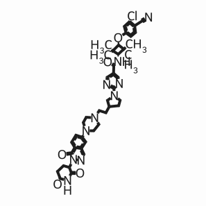 CC1(C)[C@H](NC(=O)c2cnc(N3CCC(CCN4CCN(c5ccc6c(=O)n(C7CCC(=O)NC7=O)ncc6c5)CC4)C3)nc2)C(C)(C)[C@H]1Oc1ccc(C#N)c(Cl)c1